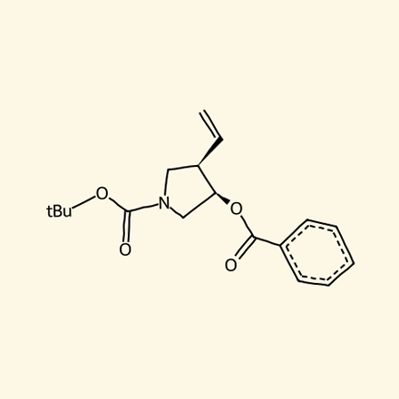 C=C[C@@H]1CN(C(=O)OC(C)(C)C)C[C@@H]1OC(=O)c1ccccc1